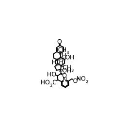 C[C@]12C=CC(=O)C=C1CC[C@@H]1[C@@H]2[C@@H](O)C[C@@]2(C)[C@H]1CC[C@]2(O)C(=O)C(O)C(C(=O)O)c1cccc(CO[N+](=O)[O-])n1